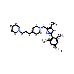 CC1=C(CN2CCC(CCCN3CCCCC3)CC2)N=C(c2c(C)cc(C)cc2C)C1